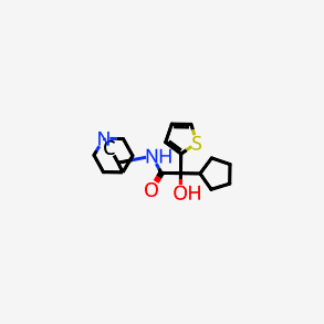 O=C(NC1CN2CCC1CC2)C(O)(c1cccs1)C1CCCC1